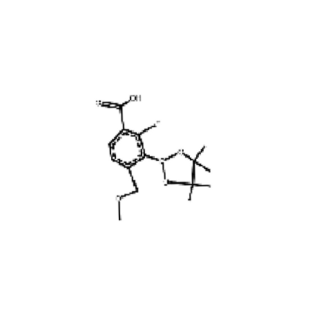 COCc1ccc(C(=O)O)c(F)c1B1OC(C)(C)C(C)(C)O1